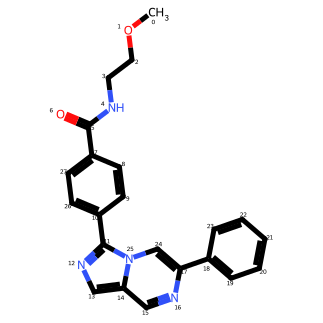 COCCNC(=O)c1ccc(-c2ncc3cnc(-c4ccccc4)cn23)cc1